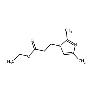 CCOC(=O)CCn1cc(C)nc1C